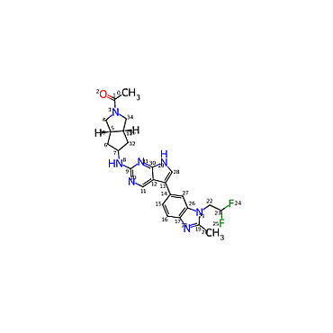 CC(=O)N1C[C@H]2CC(Nc3ncc4c(-c5ccc6nc(C)n(CC(F)F)c6c5)c[nH]c4n3)C[C@H]2C1